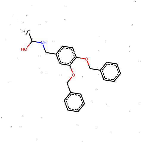 CC(O)NCc1ccc(OCc2ccccc2)c(OCc2ccccc2)c1